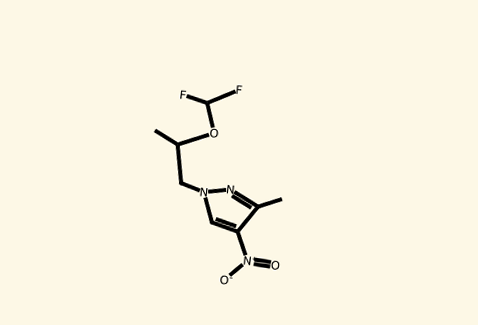 Cc1nn(CC(C)OC(F)F)cc1[N+](=O)[O-]